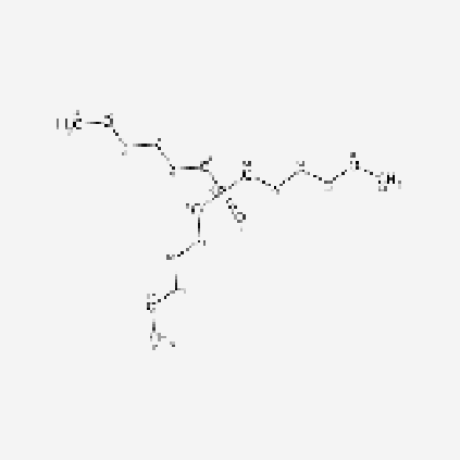 COCCCOP(=O)(OCCCOC)OCCCOC